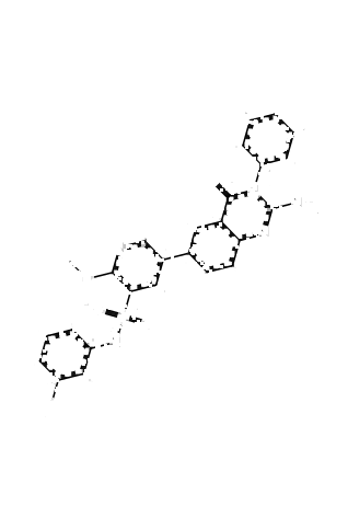 COc1ncc(-c2ccc3nc(N)n(-c4ccccc4)c(=O)c3c2)cc1S(=O)(=O)Nc1cccc(F)c1